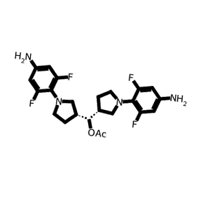 CC(=O)OC([C@@H]1CCN(c2c(F)cc(N)cc2F)C1)[C@@H]1CCN(c2c(F)cc(N)cc2F)C1